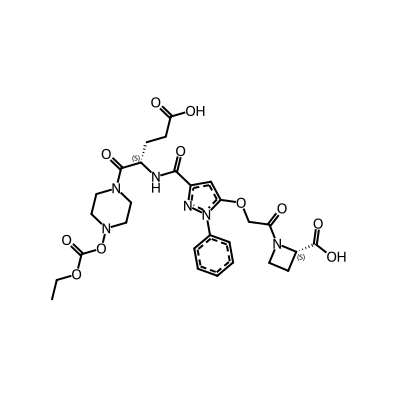 CCOC(=O)ON1CCN(C(=O)[C@H](CCC(=O)O)NC(=O)c2cc(OCC(=O)N3CC[C@H]3C(=O)O)n(-c3ccccc3)n2)CC1